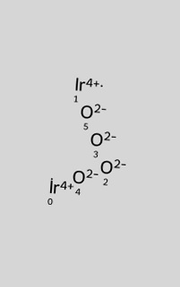 [Ir+4].[Ir+4].[O-2].[O-2].[O-2].[O-2]